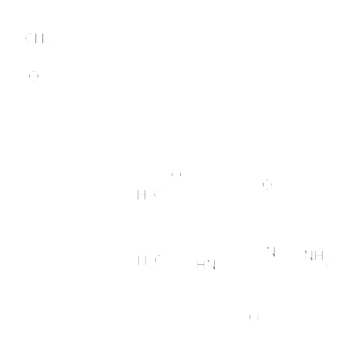 COc1ccc(COCC2(C(C)C)NC(=O)N(N)C2=O)cc1